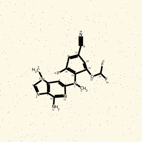 CN(c1cc2c(ncn2C)c(N)n1)c1c(F)cc(C#N)cc1OC(F)F